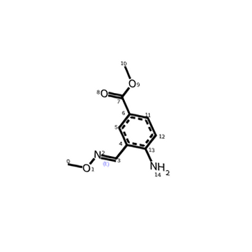 CO/N=C/c1cc(C(=O)OC)ccc1N